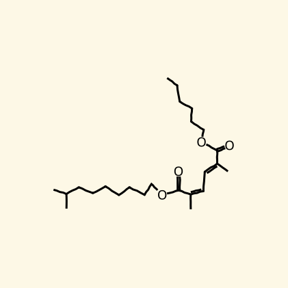 CCCCCCOC(=O)C(C)=CC=C(C)C(=O)OCCCCCCCC(C)C